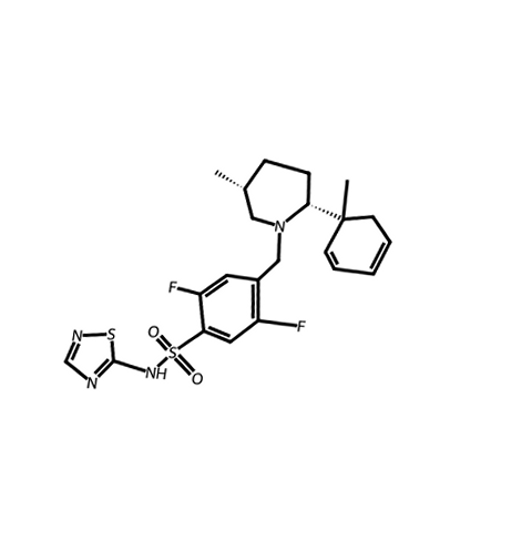 C[C@@H]1CC[C@H](C2(C)C=CC=CC2)N(Cc2cc(F)c(S(=O)(=O)Nc3ncns3)cc2F)C1